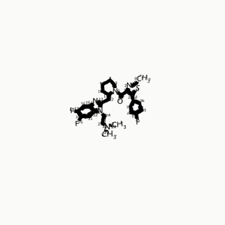 Cc1nc(C(=O)N2CCCCC2Cc2nc3cc(F)c(F)cc3n2CCN(C)C)c(-c2ccc(F)cc2)s1